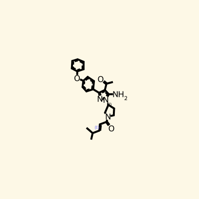 CC(=O)c1c(-c2ccc(Oc3ccccc3)cc2)nn([C@@H]2CCN(C(=O)/C=C/C(C)C)C2)c1N